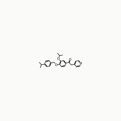 CC(C)Oc1cc(C(=O)Cc2ccncc2)ccc1OCc1ccc(C(C)C)cc1